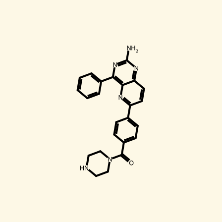 Nc1nc(-c2ccccc2)c2nc(-c3ccc(C(=O)N4CCNCC4)cc3)ccc2n1